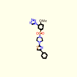 COc1ccc(S(=O)(=O)N2CCN(c3nc(-c4ccccc4)cs3)CC2)cc1-n1cnnn1